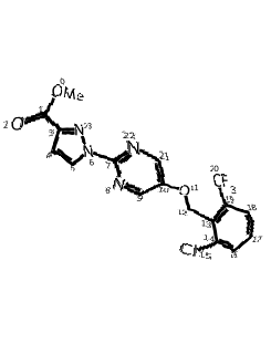 COC(=O)c1ccn(-c2ncc(OCc3c(Cl)cccc3C(F)(F)F)cn2)n1